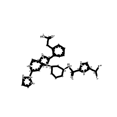 O=C(O)Cc1ccccc1-c1nc2cnc(-n3nccn3)cc2n1[C@@H]1CCC[C@H](NC(=O)c2ncc(C(F)F)s2)C1